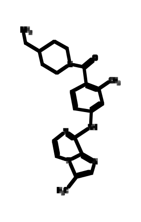 Cc1cc(Nc2nccn3c(C)cnc23)ccc1C(=O)N1CCC(CN)CC1